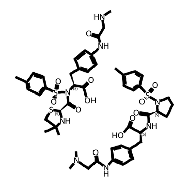 CNCC(=O)Nc1ccc(C[C@@H](C(=O)O)N(C(=O)[C@H]2NC(C)(C)CS2)S(=O)(=O)c2ccc(C)cc2)cc1.Cc1ccc(S(=O)(=O)N2CCC[C@H]2C(=O)N[C@@H](Cc2ccc(NC(=O)CN(C)C)cc2)C(=O)O)cc1